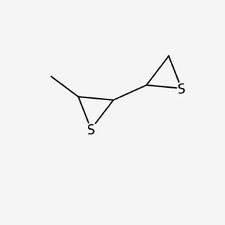 CC1SC1C1CS1